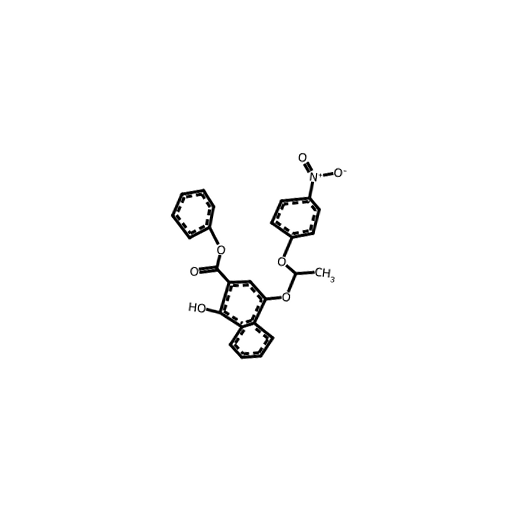 CC(Oc1ccc([N+](=O)[O-])cc1)Oc1cc(C(=O)Oc2ccccc2)c(O)c2ccccc12